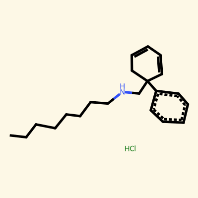 CCCCCCCCNCC1(c2ccccc2)C=CC=CC1.Cl